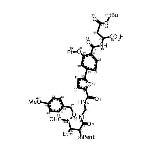 CCCCCC(C(=O)NCNC(=O)c1ccc(-c2ccc(C(=O)NC(CC(=O)OC(C)(C)C)C(=O)O)c(OCC)c2)o1)C(CC)N(C=O)OCc1ccc(OC)cc1